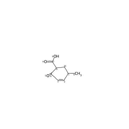 CC1C=CC(=O)C(C(=O)O)C1